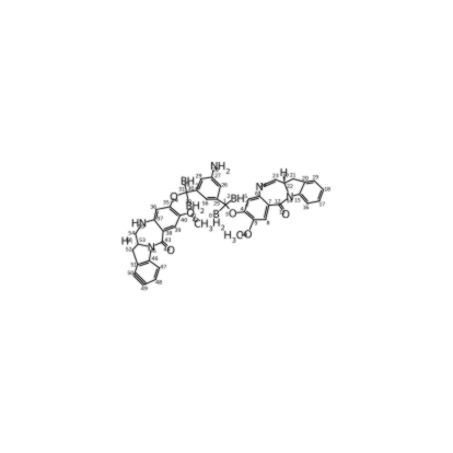 BC(B)(Oc1cc2c(cc1OC)C(=O)N1c3ccccc3C[C@H]1C=N2)c1cc(N)cc(C(B)(B)Oc2cc3c(cc2OC)C(=O)N2c4ccc#cc4C[C@H]2CN3)c1